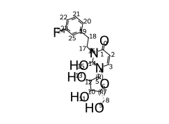 O=C1C=CN([C@@H]2O[C@H](CO)C(O)C2O)C(O)N1CCc1cccc(F)c1